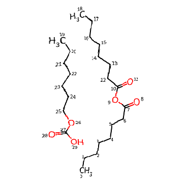 CCCCCCCC(=O)OC(=O)CCCCCCC.CCCCCCCOC(=O)O